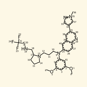 COc1cc(OC)cc(N(CCCN2CCCC2CNSC(F)(F)F)c2ccc3ncc(-c4cnn(C)c4)cc3c2)c1